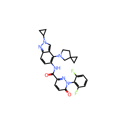 O=C(Nc1ccc2nn(C3CC3)cc2c1N1CCC2(CC2)C1)c1ccc(=O)n(-c2c(F)cccc2F)n1